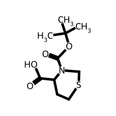 CC(C)(C)OC(=O)N1CSCCC1C(=O)O